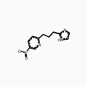 O=[N+]([O-])c1ccc(CCCc2ncc[nH]2)nc1